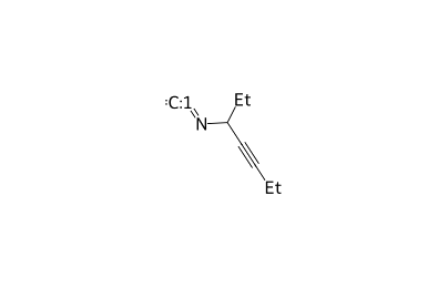 CCC#CC(CC)N=[C:1]